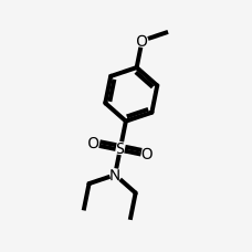 CCN(CC)S(=O)(=O)c1ccc(OC)cc1